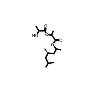 CC(C)C[C@@H](C)CC(C)OC(=O)C(C)OC(=O)C(C)O